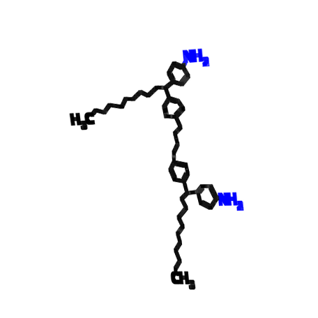 CCCCCCCCCCC(c1ccc(N)cc1)c1ccc(CCCCc2ccc(C(CCCCCCCCCC)c3ccc(N)cc3)cc2)cc1